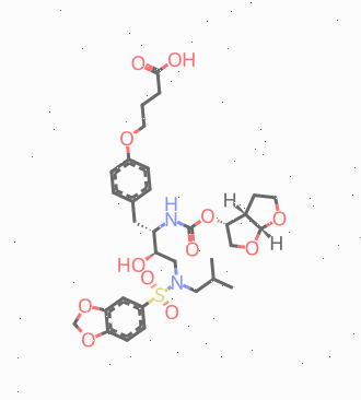 CC(C)CN(C[C@@H](O)[C@H](Cc1ccc(OCCCC(=O)O)cc1)NC(=O)O[C@H]1CO[C@H]2OCC[C@H]21)S(=O)(=O)c1ccc2c(c1)OCO2